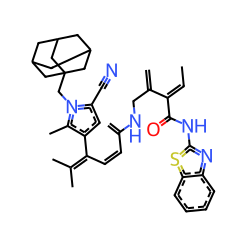 C=C(/C=C\C(=C(C)C)c1cc(C#N)n(CC23CC4CC(CC(C4)C2)C3)c1C)NCC(=C)/C(=C\C)C(=O)Nc1nc2ccccc2s1